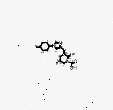 CC1CCC(n2cnc(C=C3C[C@H](C)CN(C(=O)O)C3=O)c2)CC1